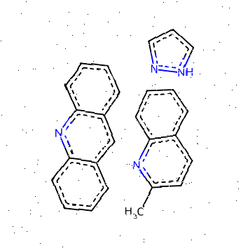 Cc1ccc2ccccc2n1.c1ccc2nc3ccccc3cc2c1.c1cn[nH]c1